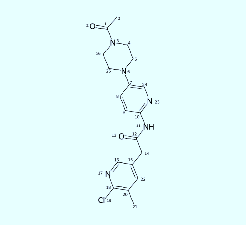 CC(=O)N1CCN(c2ccc(NC(=O)Cc3cnc(Cl)c(C)c3)nc2)CC1